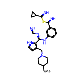 CNC1CCN(Cc2cc[nH]c2/C(=N\C=N)Nc2cccc(C(=N)SC(=N)C3CC3)c2)CC1